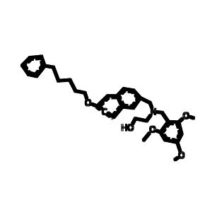 COc1cc(OC)c(CN(CCO)Cc2ccc3cc(OCCCCCc4ccccc4)ccc3c2)c(OC)c1